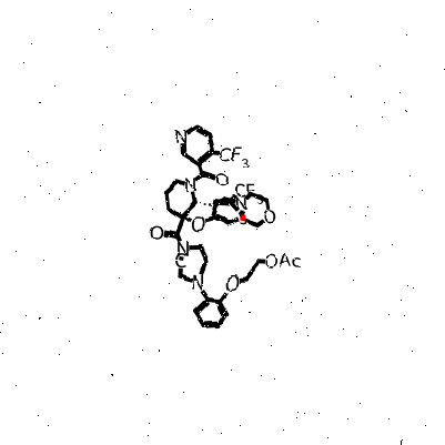 CC(=O)OCCOc1ccccc1N1CCN(C(=O)[C@]2(Oc3csc(C(F)(F)F)c3)CCCN(C(=O)c3cnccc3C(F)(F)F)[C@@H]2CCN2CCOCC2)CC1